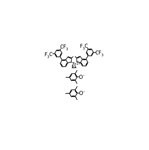 CC1=Cc2c(-c3cc(C(F)(F)F)cc(C(F)(F)F)c3)cccc2[CH]1[Zr+2]1([CH]2C(C)=Cc3c(-c4cc(C(F)(F)F)cc(C(F)(F)F)c4)cccc32)[CH2][CH2]1.Cc1cc(C)c([O-])c(C)c1.Cc1cc(C)c([O-])c(C)c1